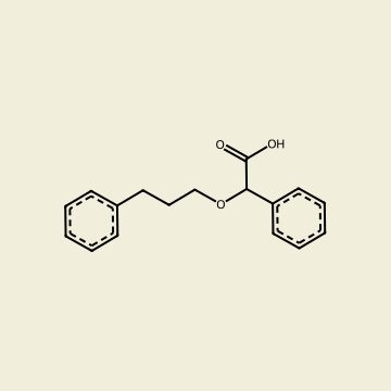 O=C(O)C(OCCCc1ccccc1)c1ccccc1